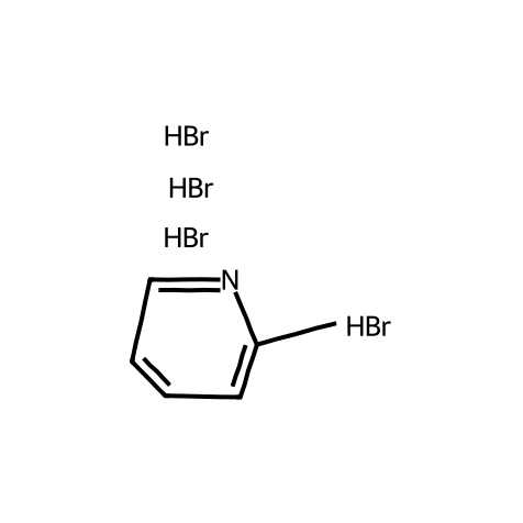 Br.Br.Br.Br.Cc1ccccn1